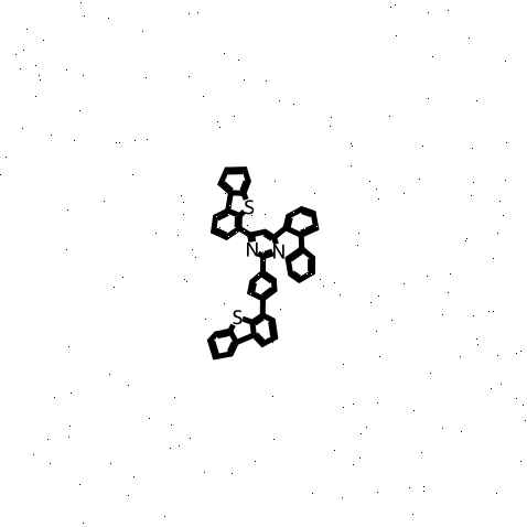 c1ccc(-c2ccccc2-c2cc(-c3cccc4c3sc3ccccc34)nc(-c3ccc(-c4cccc5c4sc4ccccc45)cc3)n2)cc1